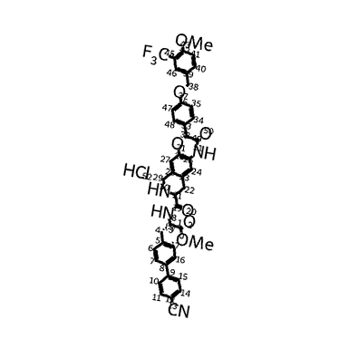 COC(=O)[C@H](Cc1ccc(-c2ccc(C#N)cc2)cc1)NC(=O)C1Cc2cc3c(cc2CN1)OC(c1ccc(OCc2ccc(OC)c(C(F)(F)F)c2)cc1)C(=O)N3.Cl